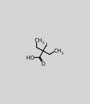 CCC(I)(CC)C(=O)O